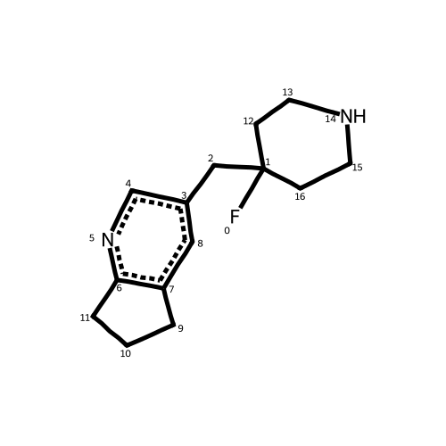 FC1(Cc2cnc3c(c2)CCC3)CCNCC1